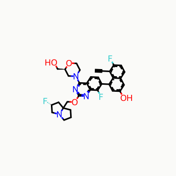 C#Cc1c(F)ccc2cc(O)cc(-c3ccc4c(N5CCO[C@H](CO)C5)nc(OCC56CCCN5C[C@H](F)C6)nc4c3F)c12